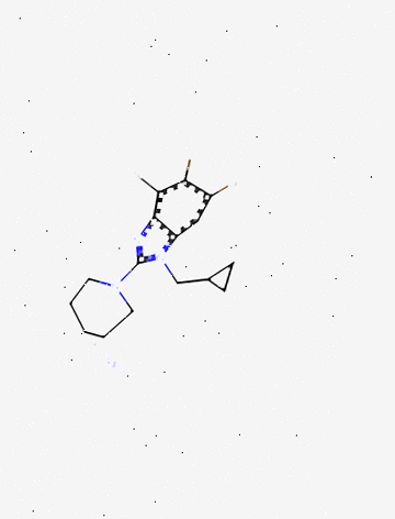 Cl.N[C@@H]1CCCN(c2nc3c([N+](=O)[O-])c(Br)c(Br)cc3n2CC2CC2)C1